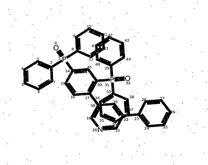 O=P(c1ccccc1)(c1ccccc1)c1ccc(-c2cncc(-c3ccccc3)c2)c(P(=O)(c2ccccc2)c2ccccc2)c1